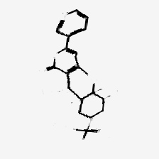 CC(=O)O[C@H]1C[C@@H](C(C)(C)OC(C)=O)C[C@H]2[C@H](O)c3c(cc(-c4cccnc4)oc3=O)O[C@]12C